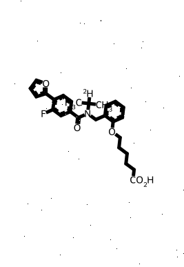 [2H]C(C)(C)N(Cc1ccccc1OCCCCCC(=O)O)C(=O)c1ccc(-c2ccco2)c(F)c1